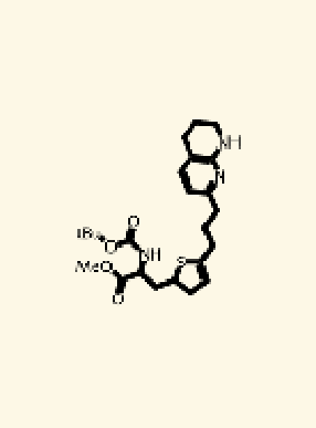 COC(=O)C(CC1CC=C(CCCc2ccc3c(n2)NCCC3)S1)NC(=O)OC(C)(C)C